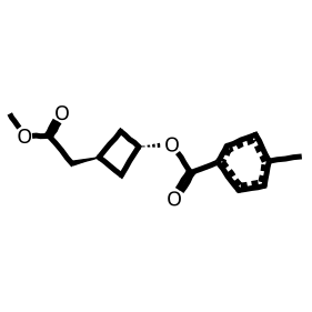 COC(=O)C[C@H]1C[C@H](OC(=O)c2ccc(C)cc2)C1